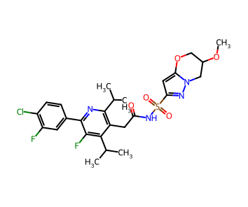 COC1COc2cc(S(=O)(=O)NC(=O)Cc3c(C(C)C)nc(-c4ccc(Cl)c(F)c4)c(F)c3C(C)C)nn2C1